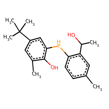 Cc1ccc(Pc2cc(C(C)(C)C)cc(C)c2O)c(C(C)O)c1